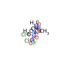 COc1ncc(-c2nc3c(n2C(C)C)C(c2ccc(Cl)cc2)N(c2cc(Cl)c(=O)n(C(F)F)c2)C3=O)c(OC)n1